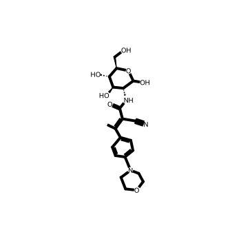 C/C(=C(/C#N)C(=O)N[C@H]1C(O)O[C@H](CO)[C@@H](O)[C@@H]1O)c1ccc(N2CCOCC2)cc1